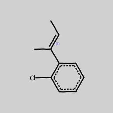 C/C=C(\C)c1ccccc1Cl